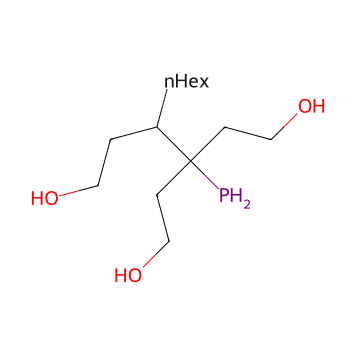 CCCCCCC(CCO)C(P)(CCO)CCO